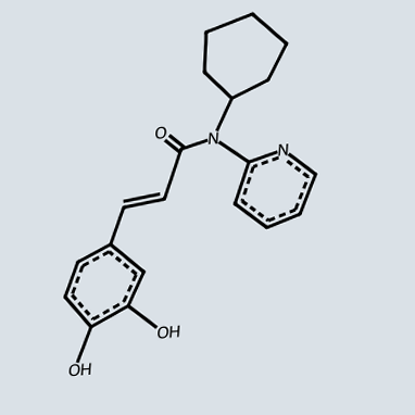 O=C(/C=C/c1ccc(O)c(O)c1)N(c1ccccn1)C1CCCCC1